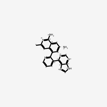 Cc1cc2c(-c3ncccc3-c3ncnc4[nH]cnc34)cccc2c(N)n1.N